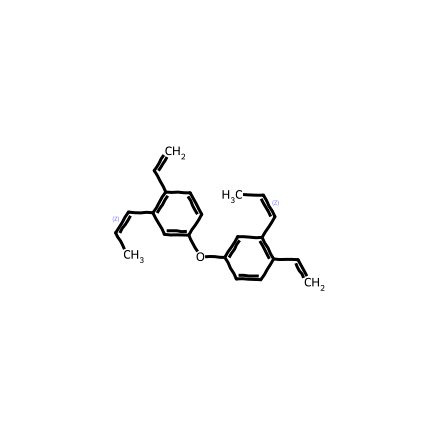 C=Cc1ccc(Oc2ccc(C=C)c(/C=C\C)c2)cc1/C=C\C